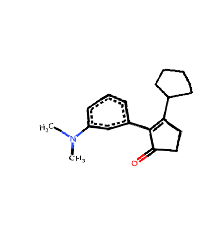 CN(C)c1cccc(C2=C(C3CCCC3)CCC2=O)c1